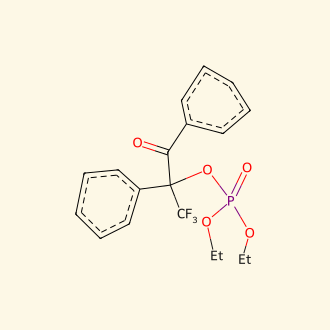 CCOP(=O)(OCC)OC(C(=O)c1ccccc1)(c1ccccc1)C(F)(F)F